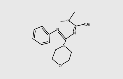 CN(C)C(=NC(=Nc1ccccc1)N1CCOCC1)C(C)(C)C